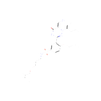 C=C(CCC)N1N=C(c2cc(S(=O)(=O)NCCCOCC(C)C)ccc2OCC)NC(=O)/C1=C(\C)N